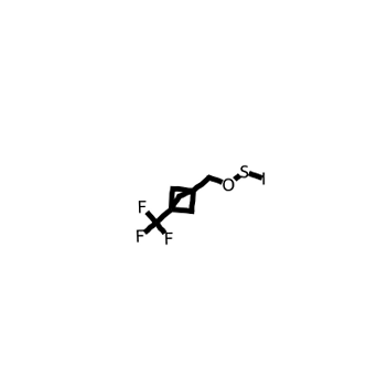 FC(F)(F)C12CC(COSI)(C1)C2